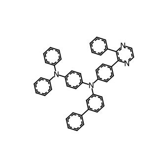 c1ccc(-c2cccc(N(c3ccc(-c4nccnc4-c4ccccc4)cc3)c3ccc(N(c4ccccc4)c4ccccc4)cc3)c2)cc1